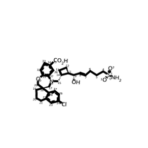 NS(=O)(=O)CCCC=C[C@H](O)[C@@H]1CC[C@H]1CN1C[C@@]2(CCCc3cc(Cl)ccc32)COc2ccc(C(=O)O)cc21